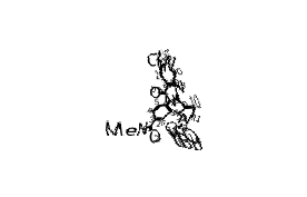 CNC(=O)c1ccc(-n2c(C3CCN(C(=O)OC(C)(C)C)C3)nc3cnc(Cl)cc3c2=O)cc1